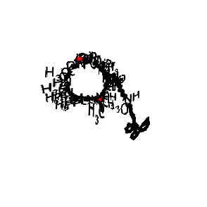 C/C=C/C[C@@H](C)[C@@H](O)[C@H]1C(=O)C[C@@H](CC)C(=O)N(C)C(Cc2ccc(C(=O)NCCCCCCNC(=O)CCCCC[P+](c3ccccc3)(c3ccccc3)c3ccccc3)cc2)C(=O)N(C)[C@@H](CC(C)C)C(=O)C[C@@H](C(C)C)C(=O)N(C)[C@@H](CC(C)C)C(=O)C[C@@H](C)C(=O)N[C@H](C)C(=O)N(C)[C@@H](CC(C)C)C(=O)N(C)[C@@H](CC(C)C)C(=O)N(C)[C@@H](C(C)C)C(=O)N1C